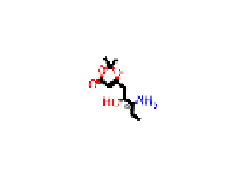 CC[C@H](N)[C@@H](O)CC1=CC(=O)OC(C)(C)O1